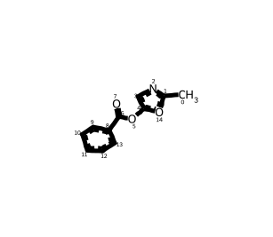 Cc1ncc(OC(=O)c2ccccc2)o1